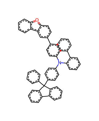 c1ccc(-c2ccccc2N(c2ccc(-c3ccc4oc5ccccc5c4c3)cc2)c2ccc(C3(c4ccccc4)c4ccccc4-c4ccccc43)cc2)cc1